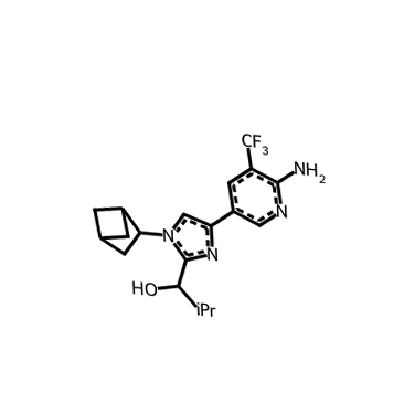 CC(C)C(O)c1nc(-c2cnc(N)c(C(F)(F)F)c2)cn1C1CC2CC1C2